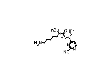 CCCCN(CCCCCN)C(=O)NN(CC(C)C)c1ccnc(C#N)n1